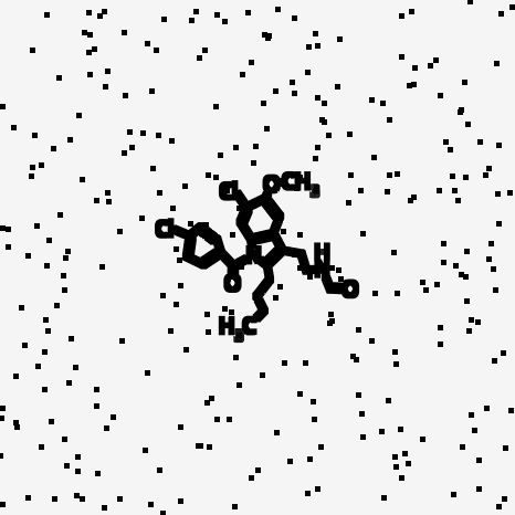 CCCCc1c(CCNC=O)c2cc(OC)c(Cl)cc2n1C(=O)c1ccc(Cl)cc1